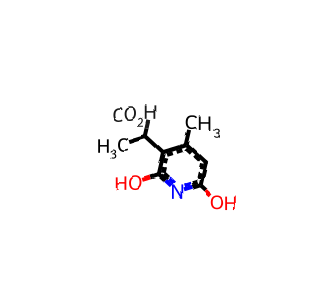 Cc1cc(O)nc(O)c1C(C)C(=O)O